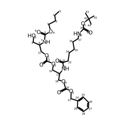 CCCCOC(=O)NC(CO)COC(=O)OCC(COC(=O)OCc1ccccc1)NC(=O)CCCCCNC(=O)OC(C)(C)C